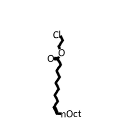 CCCCCCCC/C=C\CCCCCCCC(=O)OCCCl